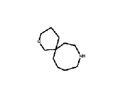 C1CCC2(CCC[N]C2)CCNC1